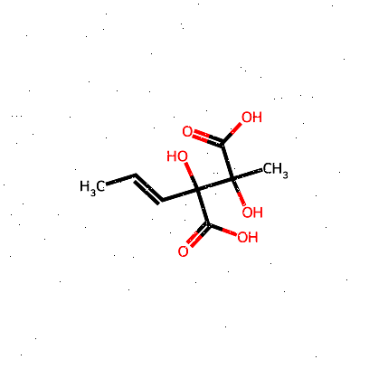 CC=CC(O)(C(=O)O)C(C)(O)C(=O)O